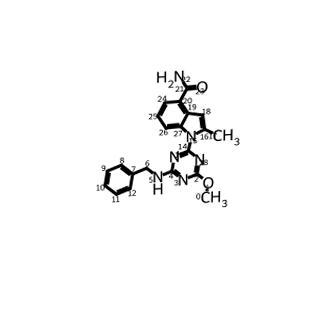 COc1nc(NCc2ccccc2)nc(-n2c(C)cc3c(C(N)=O)cccc32)n1